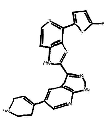 Fc1ccc(-c2nccc3[nH]c(-c4n[nH]c5ncc(C6=CCNCC6)cc45)nc23)s1